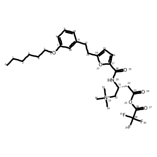 CCCCCCOc1cccc(CCc2ccc(C(=O)N[C@H](CC(=O)OC(=O)C(F)(F)F)C[N+](C)(C)C)o2)c1